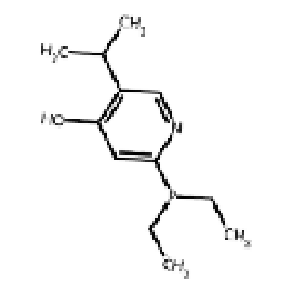 CCP(CC)c1cc(O)c(C(C)C)cn1